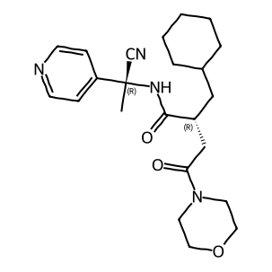 C[C@@](C#N)(NC(=O)[C@@H](CC(=O)N1CCOCC1)CC1CCCCC1)c1ccncc1